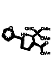 COC(=O)C1=CC=C(c2ccco2)NC1C(C=O)(OC)OC